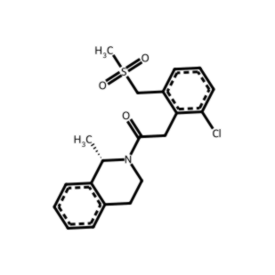 C[C@H]1c2ccccc2CCN1C(=O)Cc1c(Cl)cccc1CS(C)(=O)=O